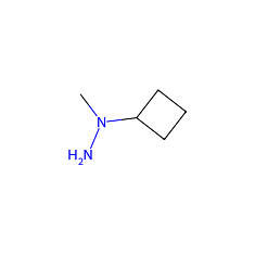 CN(N)C1CCC1